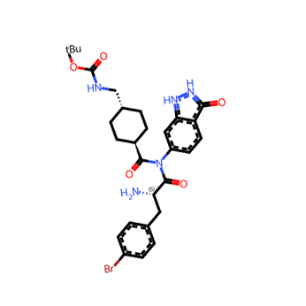 CC(C)(C)OC(=O)NC[C@H]1CC[C@H](C(=O)N(C(=O)[C@@H](N)Cc2ccc(Br)cc2)c2ccc3c(=O)[nH][nH]c3c2)CC1